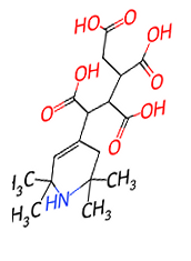 CC1(C)C=C(C(C(=O)O)C(C(=O)O)C(CC(=O)O)C(=O)O)CC(C)(C)N1